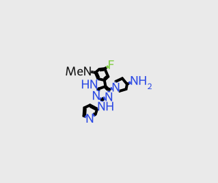 CNc1cc(F)cc2c1[nH]c1nc(Nc3cccnc3)nc(N3CCC(N)CC3)c12